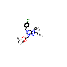 CCc1nc2c(n1C)CN(Cc1ccc(Cl)cc1)CN2CC(OC)OC